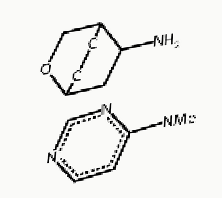 CNc1ccncn1.NC1CC2CCC1CO2